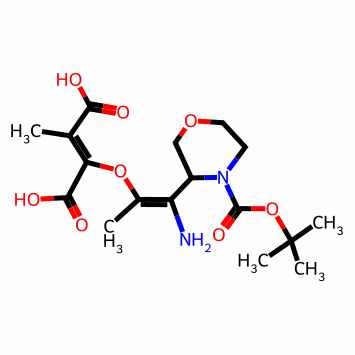 CC(OC(C(=O)O)=C(C)C(=O)O)=C(N)C1COCCN1C(=O)OC(C)(C)C